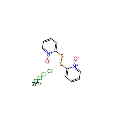 [Cl-].[Cl-].[Cl-].[Cl-].[O-][n+]1ccccc1SSc1cccc[n+]1[O-].[Zr+4]